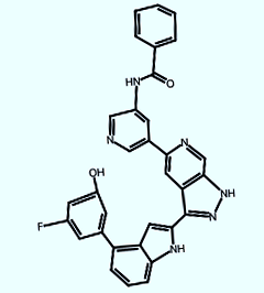 O=C(Nc1cncc(-c2cc3c(-c4cc5c(-c6cc(O)cc(F)c6)cccc5[nH]4)n[nH]c3cn2)c1)c1ccccc1